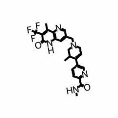 CNC(=O)c1ccc(C2=CCN(Cc3cnc4c(C)c(C(F)(F)F)c(=O)[nH]c4c3)CC2C)cn1